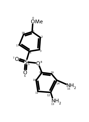 COc1ccc(S(=O)(=O)Oc2ccc(N)c(N)c2)cc1